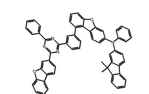 CC1(C)c2ccccc2-c2ccc(N(c3ccccc3)c3ccc4c(c3)oc3cccc(-c5cccc(-c6nc(-c7ccccc7)nc(-c7ccc8c(c7)oc7ccccc78)n6)c5)c34)cc21